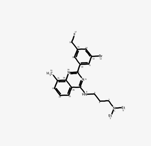 CCN(CC)CCCNc1nc(-c2cc(Br)cc(CF)c2)nc2c(C)cccc12